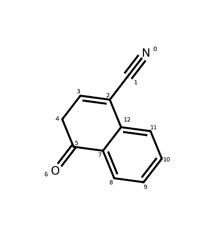 N#CC1=CCC(=O)c2ccccc21